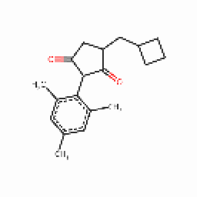 Cc1cc(C)c(C2C(=O)CC(CC3CCC3)C2=O)c(C)c1